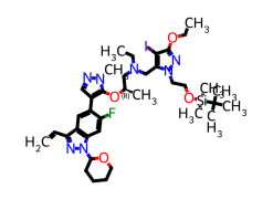 C=Cc1nn(C2CCCCO2)c2cc(F)c(-c3cnn(C)c3O[C@H](C)CN(CC)Cc3c(I)c(OCC)nn3CCO[Si](C)(C)C(C)(C)C)cc12